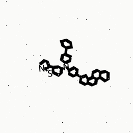 c1ccc(-c2ccc(N(c3ccc(-c4ccc5ccc6c7ccccc7ccc6c5c4)cc3)c3ccc4sc5ncccc5c4c3)cc2)cc1